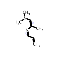 C=C/C=N\C(C)=C/N(C)C